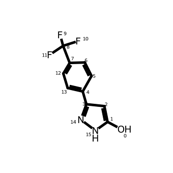 Oc1cc(-c2ccc(C(F)(F)F)cc2)n[nH]1